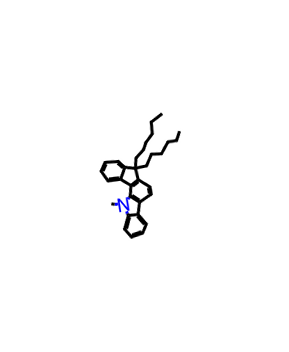 CCCCCCC1(CCCCCC)c2ccccc2-c2c1ccc1c3ccccc3n(C)c21